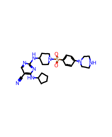 N#Cc1cnc(NC2CCN(S(=O)(=O)c3ccc(N4CCNCC4)cc3)CC2)nc1NC1CCCC1